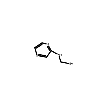 CC(C)CNc1cnccn1